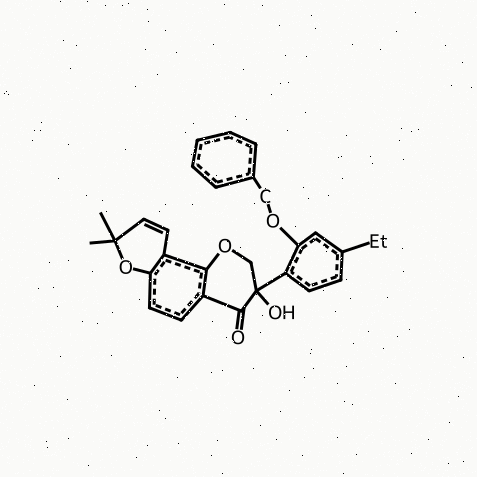 CCc1ccc(C2(O)COc3c(ccc4c3C=CC(C)(C)O4)C2=O)c(OCc2ccccc2)c1